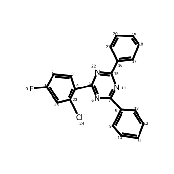 Fc1ccc(-c2nc(-c3ccccc3)nc(-c3ccccc3)n2)c(Cl)c1